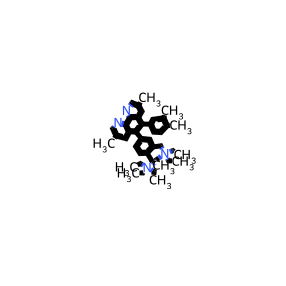 CC[N+](CC)(CC)Cc1ccc(-c2c(-c3ccc(C)c(C)c3)c3cc(C)cnc3c3ncc(C)cc23)cc1C[N+](CC)(CC)CC